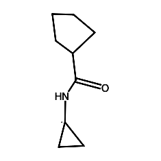 O=C(N[C]1CC1)C1CCCC1